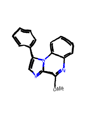 COc1nc2ccccc2n2c(-c3ccccc3)cnc12